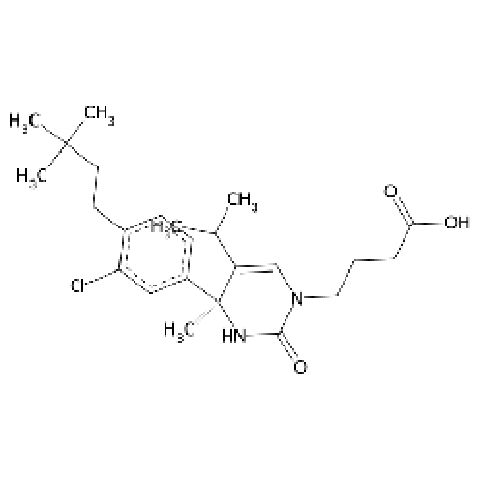 CC(C)C1=CN(CCCC(=O)O)C(=O)N[C@@]1(C)c1ccc(CCC(C)(C)C)c(Cl)c1